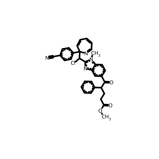 COC(=O)CCC(C(=O)c1ccc2c(c1)nc(C(Cl)C1(c3ccc(C#N)cc3)C=CC=CC=N1)n2C)c1ccccc1